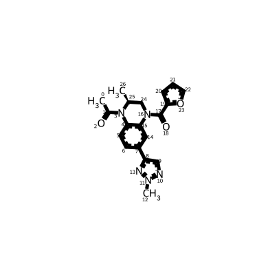 CC(=O)N1c2ccc(-c3cnn(C)n3)cc2N(C(=O)c2ccco2)C[C@@H]1C